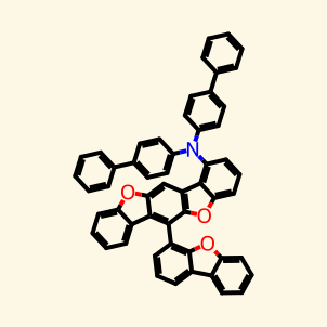 c1ccc(-c2ccc(N(c3ccc(-c4ccccc4)cc3)c3cccc4oc5c(-c6cccc7c6oc6ccccc67)c6c(cc5c34)oc3ccccc36)cc2)cc1